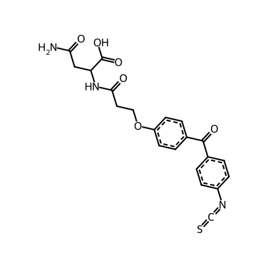 NC(=O)CC(NC(=O)CCOc1ccc(C(=O)c2ccc(N=C=S)cc2)cc1)C(=O)O